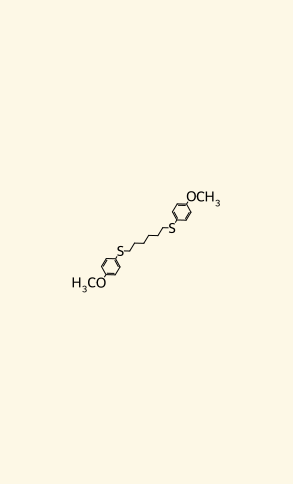 COc1ccc(SCCCCCCSc2ccc(OC)cc2)cc1